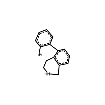 CC(C)c1ccccc1-c1cccc2c1CCNC2